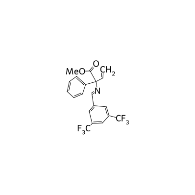 C=CC(/N=C/c1cc(C(F)(F)F)cc(C(F)(F)F)c1)(C(=O)OC)c1ccccc1